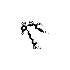 CC#CCC(C)[C@H](O)C=C[C@H]1[C@H](O)CC(=O)[C@@H]1CC=CCCCC(=O)NC(C)=O